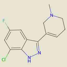 CN1CCC=C(c2n[nH]c3c(Cl)cc(F)cc23)C1